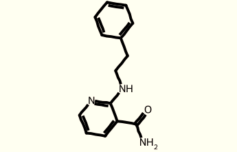 NC(=O)c1cccnc1NCCc1ccccc1